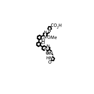 COc1nc(-c2cccc(-c3cccc(-c4ccn5c(=O)c(CNC[C@@H]6CCC(=O)N6)cnc5c4)c3Cl)c2Cl)cnc1CN1CC[C@H](C(=O)O)C1